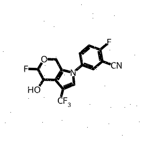 N#Cc1cc(-n2cc(C(F)(F)F)c3c2COC(F)C3O)ccc1F